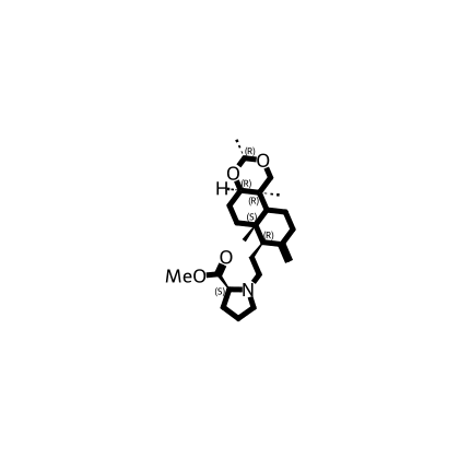 C=C1CCC2[C@]3(C)CO[C@@H](C)O[C@@H]3CC[C@@]2(C)[C@@H]1CCN1CCC[C@H]1C(=O)OC